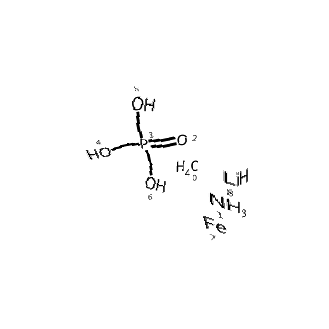 C.N.O=P(O)(O)O.[Fe].[LiH]